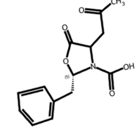 CC(=O)CC1C(=O)O[C@@H](Cc2ccccc2)N1C(=O)O